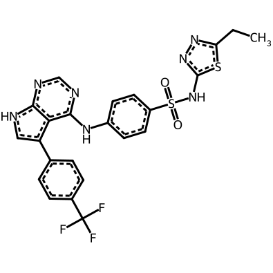 CCc1nnc(NS(=O)(=O)c2ccc(Nc3ncnc4[nH]cc(-c5ccc(C(F)(F)F)cc5)c34)cc2)s1